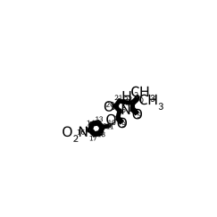 CC(C)=C1C(=O)N2C(C(=O)OCc3ccc([N+](=O)[O-])cc3)C(=O)C[C@H]12